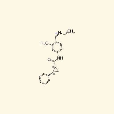 C=C/N=C\c1ccc(NC(=O)[C@@H]2C[C@H]2c2ccccc2)cc1C